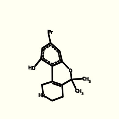 CC(C)c1cc(O)c2c(c1)OC(C)(C)C1=C2CNCC1